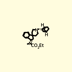 CCOC(=O)N(C)[C@H]1CC2(CCN(C[C@H]3C[C@H]4CC[C@@H]3C4)CC2)c2ccccc21